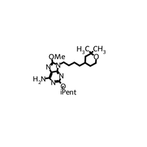 CCC[C@H](C)Oc1nc(N)c2nc(OC)n(CCCCC3CCOC(C)(C)C3)c2n1